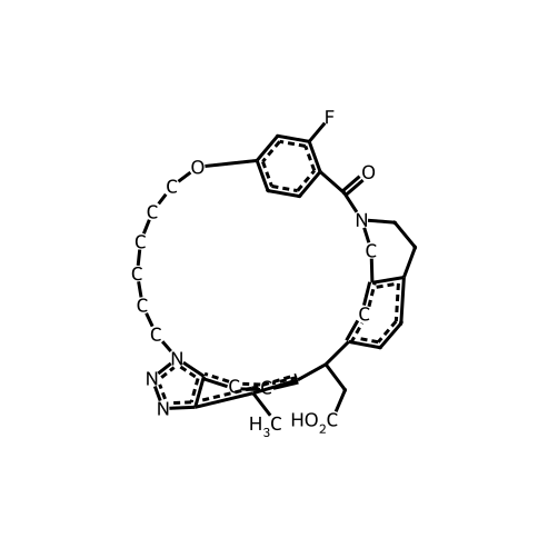 Cc1c2ccc3c1nnn3CCCCCCOc1ccc(c(F)c1)C(=O)N1CCc3ccc(cc3C1)C2CC(=O)O